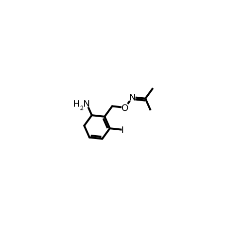 CC(C)=NOCC1=C(I)C=CCC1N